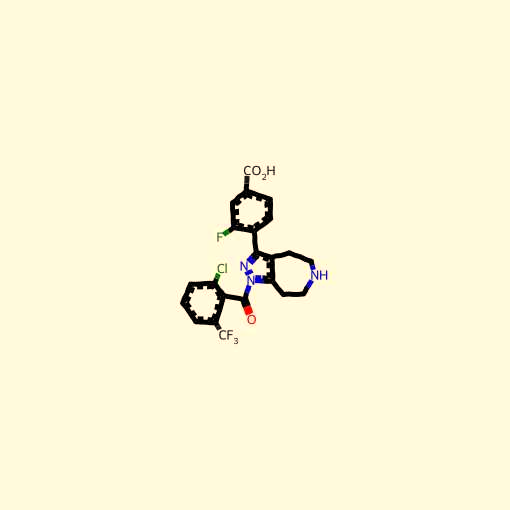 O=C(O)c1ccc(-c2nn(C(=O)c3c(Cl)cccc3C(F)(F)F)c3c2CCNCC3)c(F)c1